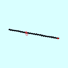 CCCCCCCCCCCCCCCCCCCCCCCCCCCCCCCC(=O)OCCCCCCCCCCCCCCCCC